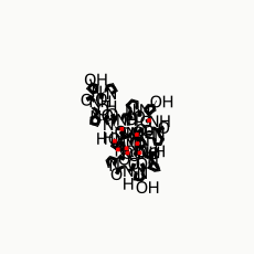 CSCC[C@H](NC(=O)[C@@H]1CCCN1C(=O)CNC(=O)[C@@H]1C[C@@H](O)CN1C(=O)[C@@H]1CCCN1)C(=O)NCC(=O)N1CCC[C@H]1C(=O)N1C[C@H](O)C[C@H]1C(=O)NCC(=O)N1CCC[C@H]1C(=O)N1C[C@H](O)C[C@H]1C(=O)NCC(=O)N1CCC[C@H]1C(=O)N1C[C@H](O)C[C@H]1C(=O)NCC(=O)N1CCC[C@H]1C(=O)N1C[C@H](O)C[C@H]1C(=O)NCC(=O)N1CCC[C@H]1C(=O)N1C[C@H](O)C[C@H]1C(=O)O